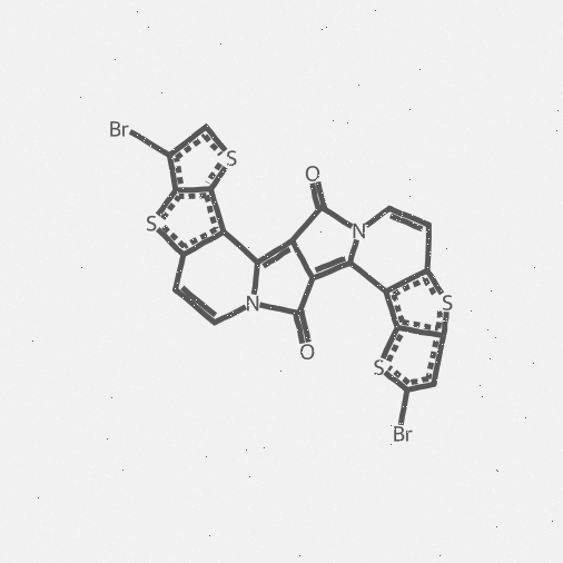 O=C1C2=C3c4c(sc5c(Br)csc45)C=CN3C(=O)C2=C2c3c(sc4cc(Br)sc34)C=CN12